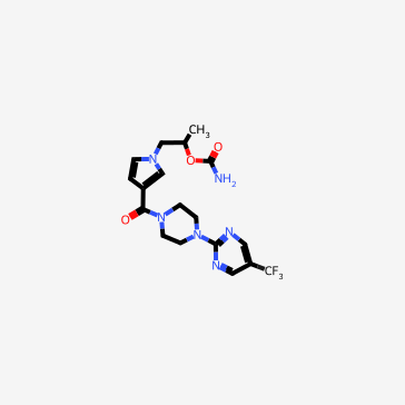 CC(Cn1ccc(C(=O)N2CCN(c3ncc(C(F)(F)F)cn3)CC2)c1)OC(N)=O